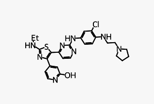 CCNc1nc(-c2ccnc(O)c2)c(-c2ccnc(Nc3ccc(NCCN4CCCC4)c(Cl)c3)n2)s1